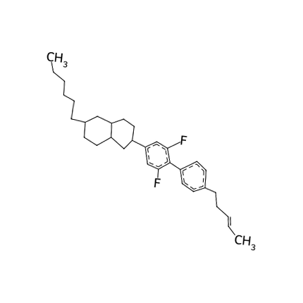 CC=CCCc1ccc(-c2c(F)cc(C3CCC4CC(CCCCCC)CCC4C3)cc2F)cc1